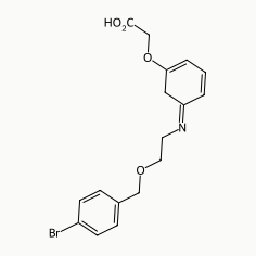 O=C(O)COC1=CC=CC(=NCCOCc2ccc(Br)cc2)C1